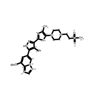 COc1cc(-c2[nH]nc(-c3nc(C)c(N4CCN(CCS(C)(=O)=O)CC4)s3)c2C(C)C)cn2ncnc12